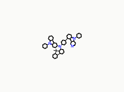 CC1(C)c2ccccc2-c2cccc(N(c3ccc(-c4cccc5c4c4cnccc4n5-c4ccccc4)cc3)c3ccc4c(c3)c3ccccc3n4-c3ccccc3)c21